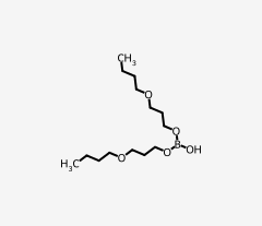 CCCCOCCCOB(O)OCCCOCCCC